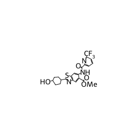 COC(=O)c1cc2nc(C3CCC(O)CC3)sc2cc1NC(=O)c1cccc(C(F)(F)F)n1